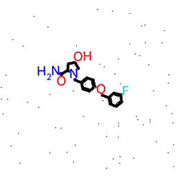 NC(=O)C1CC(O)CN1Cc1ccc(OCc2cccc(F)c2)cc1